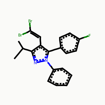 CC(C)c1nn(-c2ccccc2)c(-c2ccc(F)cc2)c1C=C(Br)Br